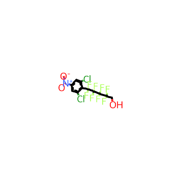 O=[N+]([O-])c1cc(Cl)c(C(F)(F)C(F)(F)C(F)(F)C(F)(F)CO)c(Cl)c1